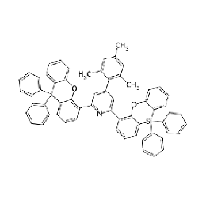 Cc1cc(C)c(-c2cc(-c3cccc4c3Oc3ccccc3C4(c3ccccc3)c3ccccc3)nc(-c3cccc4c3Oc3ccccc3[Si]4(c3ccccc3)c3ccccc3)c2)c(C)c1